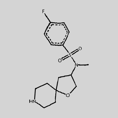 CN(C1COC2(CCNCC2)C1)S(=O)(=O)c1ccc(F)cc1